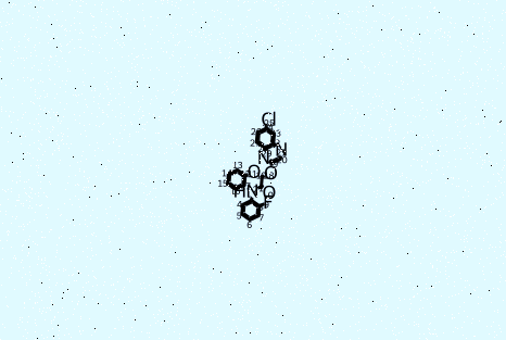 O=C(Nc1ccccc1F)C(Oc1ccccc1)Oc1cnc2cc(Cl)ccc2n1